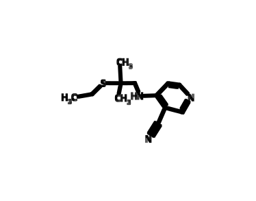 CCSC(C)(C)CNc1ccncc1C#N